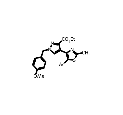 CCOC(=O)c1nn(Cc2ccc(OC)cc2)cc1-c1nc(C)sc1C(C)=O